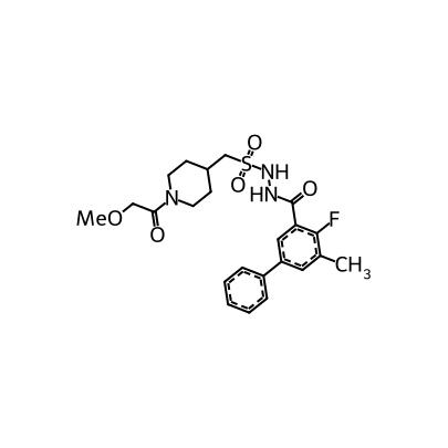 COCC(=O)N1CCC(CS(=O)(=O)NNC(=O)c2cc(-c3ccccc3)cc(C)c2F)CC1